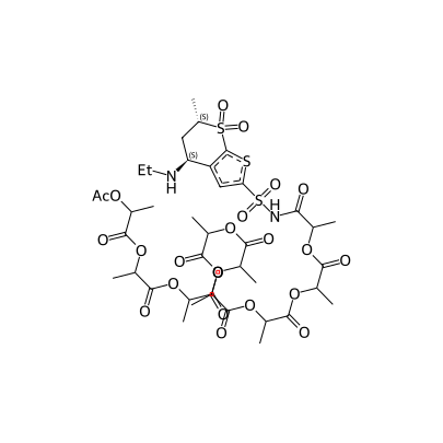 CCN[C@H]1C[C@H](C)S(=O)(=O)c2sc(S(=O)(=O)NC(=O)C(C)OC(=O)C(C)OC(=O)C(C)OC(=O)C(C)OC(=O)C(C)OC(=O)C(C)OC(=O)C(C)OC(=O)C(C)OC(=O)C(C)OC(C)=O)cc21